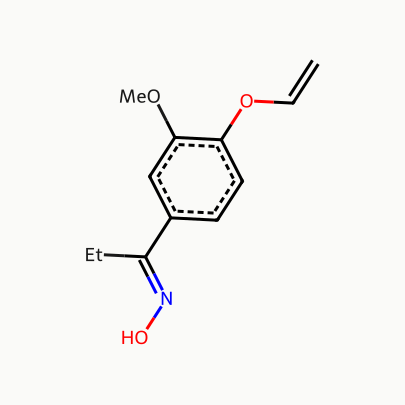 C=COc1ccc(C(CC)=NO)cc1OC